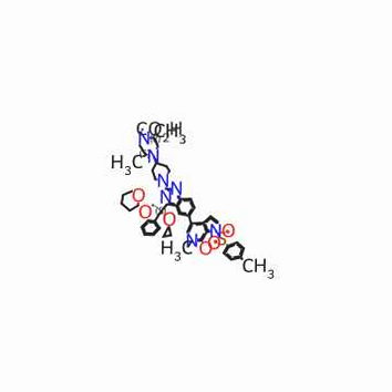 Cc1ccc(S(=O)(=O)n2ccc3c(-c4ccc5nc(N6CCC(N7C[C@@H](C)N(C(=O)O)C[C@@H]7C)CC6)nc([C@@](COC6CCCCO6)(OC6CC6)c6ccccc6)c5c4)cn(C)c(=O)c32)cc1